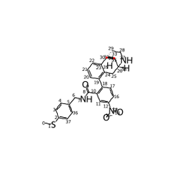 CSc1ccc(CNC(=O)c2cc([N+](=O)[O-])ccc2-c2cccc3c2C[C@H]2NCC[C@@]34CCCC[C@@H]24)cc1